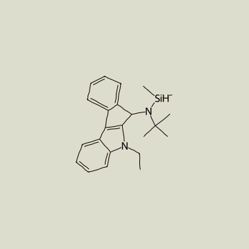 CCn1c2c(c3ccccc31)-c1ccccc1C2N([SiH](C)C)C(C)(C)C